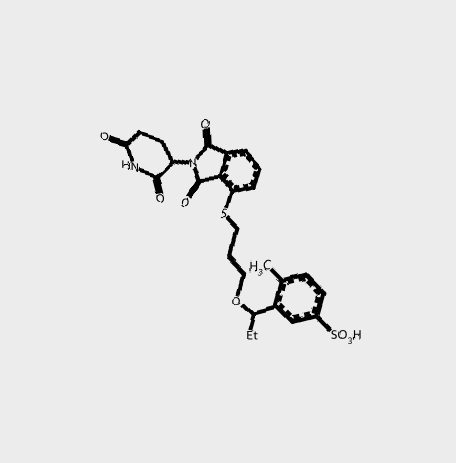 CCC(OCCCSc1cccc2c1C(=O)N(C1CCC(=O)NC1=O)C2=O)c1cc(S(=O)(=O)O)ccc1C